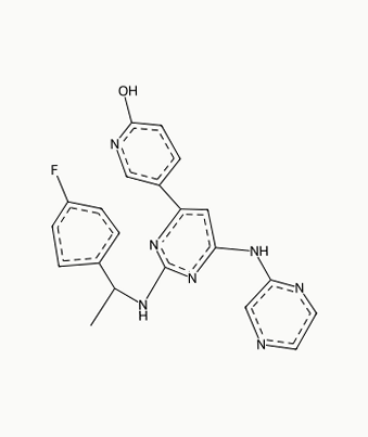 CC(Nc1nc(Nc2cnccn2)cc(-c2ccc(O)nc2)n1)c1ccc(F)cc1